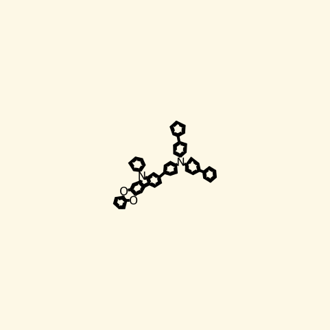 c1ccc(-c2ccc(N(c3ccc(-c4ccccc4)cc3)c3ccc(-c4ccc5c6cc7c(cc6n(-c6ccccc6)c5c4)Oc4ccccc4O7)cc3)cc2)cc1